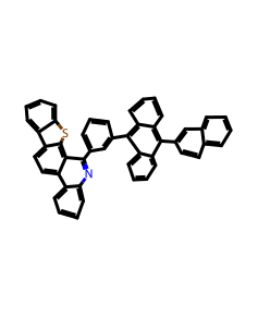 c1cc(-c2c3ccccc3c(-c3ccc4ccccc4c3)c3ccccc23)cc(-c2nc3ccccc3c3ccc4c5ccccc5sc4c23)c1